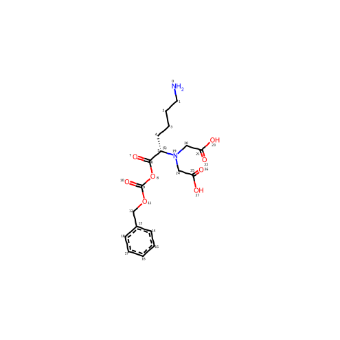 NCCCC[C@@H](C(=O)OC(=O)OCc1ccccc1)N(CC(=O)O)CC(=O)O